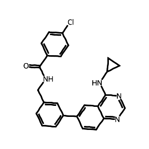 O=C(NCc1cccc(-c2ccc3ncnc(NC4CC4)c3c2)c1)c1ccc(Cl)cc1